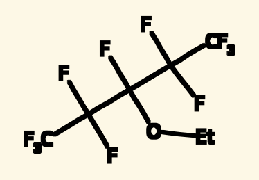 CCOC(F)(C(F)(F)C(F)(F)F)C(F)(F)C(F)(F)F